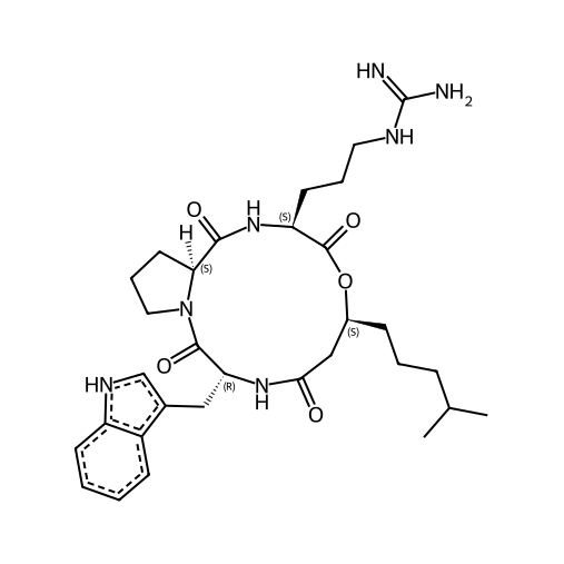 CC(C)CCC[C@H]1CC(=O)N[C@H](Cc2c[nH]c3ccccc23)C(=O)N2CCC[C@H]2C(=O)N[C@@H](CCCNC(=N)N)C(=O)O1